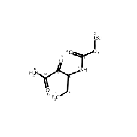 CC(C)(C)OC(=O)NC(CC(F)(F)F)C(=O)C(N)=O